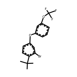 CC(C)(C)c1ccc(Oc2cccc(OC(F)(F)F)c2)cc1Br